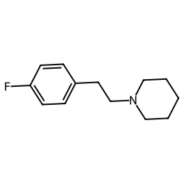 Fc1ccc(CCN2CCCCC2)cc1